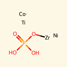 O=P(O)(O)[O][Zr].[Co].[Ni].[Ti]